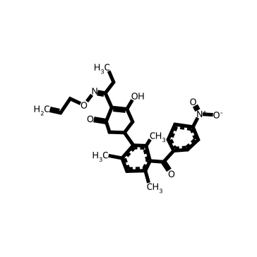 C=CCO/N=C(/CC)C1=C(O)CC(c2c(C)cc(C)c(C(=O)c3ccc([N+](=O)[O-])cc3)c2C)CC1=O